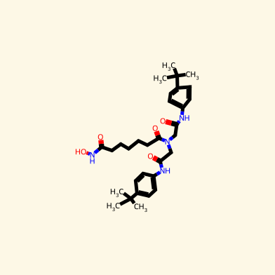 CC(C)(C)c1ccc(NC(=O)CN(CC(=O)Nc2ccc(C(C)(C)C)cc2)C(=O)CCCCCC(=O)NO)cc1